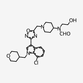 O=CN(CCO)C1CCN(Cc2nc(-c3cn(CC4CCOCC4)c4c(Cl)cccc34)no2)CC1